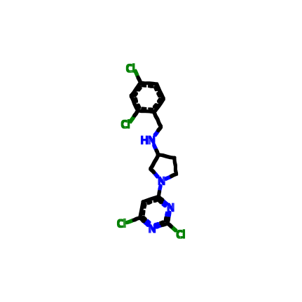 Clc1ccc(CNC2CCN(c3cc(Cl)nc(Cl)n3)C2)c(Cl)c1